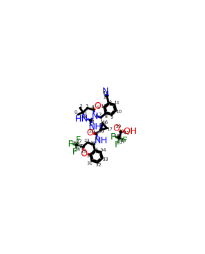 CC1(C)CC(=O)N(C(c2cccc(C#N)c2)[C@@H]2C[C@H]2C(=O)N[C@H]2C[C@H](C(F)(F)F)Oc3ccccc32)C(=N)N1.O=C(O)C(F)(F)F